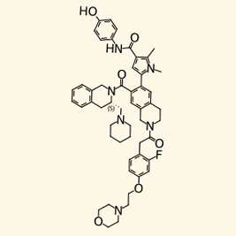 Cc1c(C(=O)Nc2ccc(O)cc2)cc(-c2cc3c(cc2C(=O)N2Cc4ccccc4C[C@H]2CN2CCCCC2)CN(C(=O)Cc2ccc(OCCN4CCOCC4)cc2F)CC3)n1C